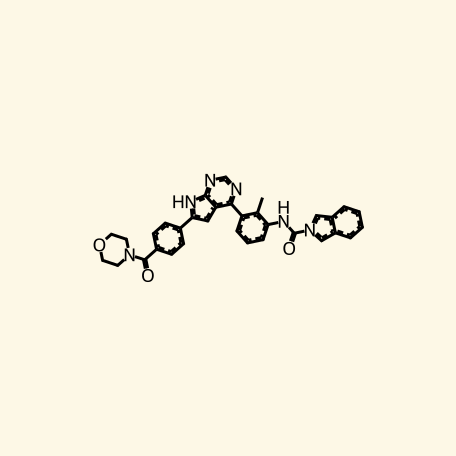 Cc1c(NC(=O)n2cc3ccccc3c2)cccc1-c1ncnc2[nH]c(-c3ccc(C(=O)N4CCOCC4)cc3)cc12